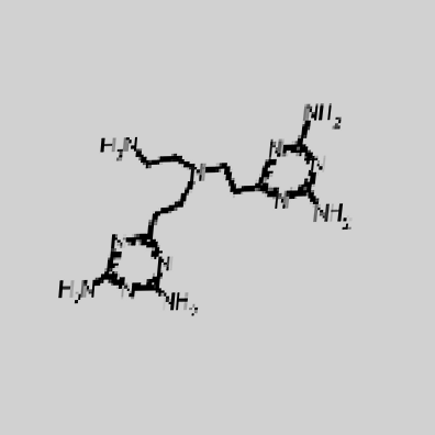 NCCN(CCc1nc(N)nc(N)n1)CCc1nc(N)nc(N)n1